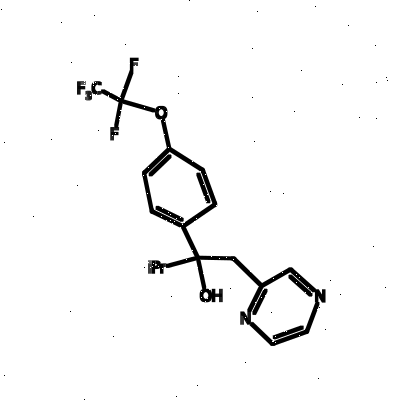 CC(C)C(O)(Cc1cnccn1)c1ccc(OC(F)(F)C(F)(F)F)cc1